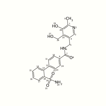 Cc1ncc(CNC(=O)c2ccc(-c3ccccc3S(N)(=O)=O)cc2)c(CO)c1O